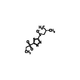 CCS(=O)(=O)c1nnc([S+]([O-])CC(C)C)s1